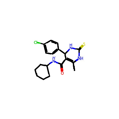 CC1=C(C(=O)NC2CCCCC2)C(c2ccc(Cl)cc2)NC(=S)N1